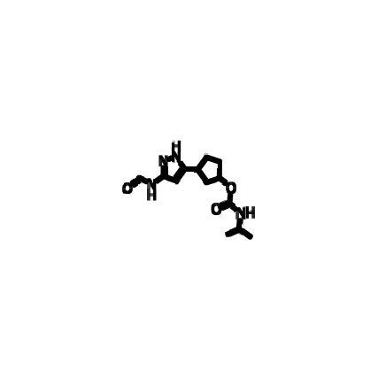 CC(C)NC(=O)OC1CCC(c2cc(NC=O)n[nH]2)C1